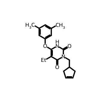 CCc1c(Oc2cc(C)cc(C)c2)[nH]c(=O)n(CC2CC=CC2)c1=O